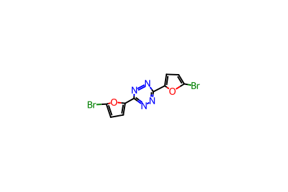 Brc1ccc(-c2nnc(-c3ccc(Br)o3)nn2)o1